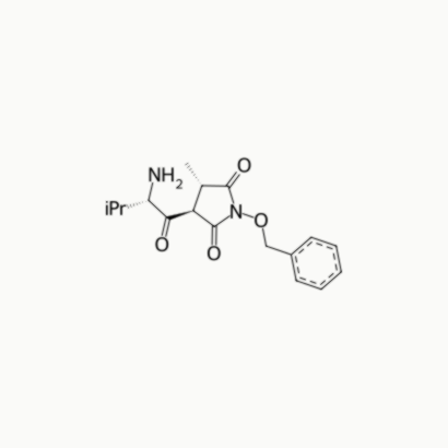 CC(C)[C@H](N)C(=O)[C@@H]1C(=O)N(OCc2ccccc2)C(=O)[C@H]1C